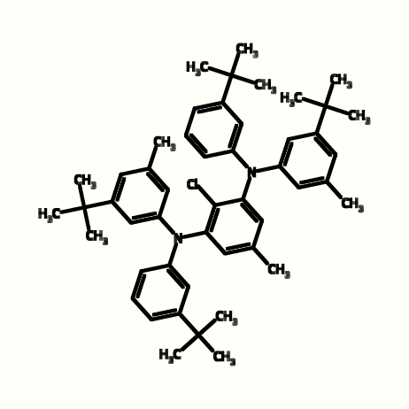 Cc1cc(N(c2cccc(C(C)(C)C)c2)c2cc(C)cc(N(c3cccc(C(C)(C)C)c3)c3cc(C)cc(C(C)(C)C)c3)c2Cl)cc(C(C)(C)C)c1